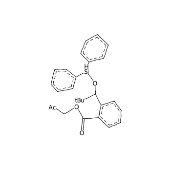 CC(=O)COC(=O)c1ccccc1C(O[SiH](c1ccccc1)c1ccccc1)C(C)(C)C